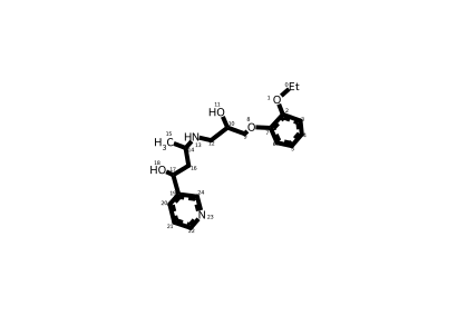 CCOc1ccccc1OCC(O)CNC(C)CC(O)c1cccnc1